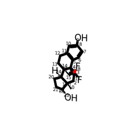 C[C@]12CC=C3c4ccc(O)cc4CC[C@@]3(C=C(F)F)[C@@H]1CC[C@@H]2O